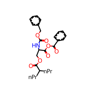 CCCC(CCC)C(=O)OCC(NC(=O)OCc1ccccc1)C(=O)OC(=O)c1ccccc1